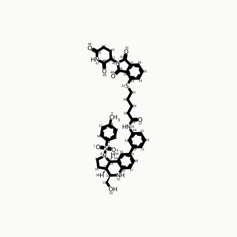 Cc1ccc(S(=O)(=O)N2CC[C@@H]3[C@H](CO)Nc4ccc(-c5cccc(NC(=O)CCCCSc6cccc7c6C(=O)N(C6CCC(=O)NC6=O)C7=O)c5)cc4[C@@H]32)cc1